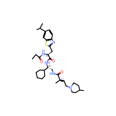 CCC(=O)N[C@@H](Cc1nc2ccc(C(C)C)cc2s1)C(=O)N[C@H](CNC(=O)/C(C)=C/CN1CCC(C)CC1)C1CCCCC1